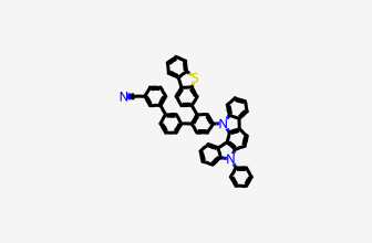 N#Cc1cccc(-c2cccc(-c3ccc(-n4c5ccccc5c5ccc6c(c7ccccc7n6-c6ccccc6)c54)cc3-c3ccc4c(c3)sc3ccccc34)c2)c1